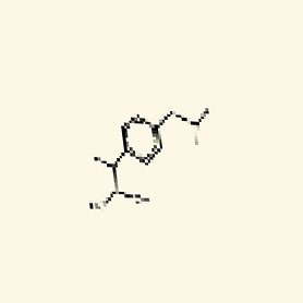 CC(C)Cc1ccc(C(C)C(O)O)cc1